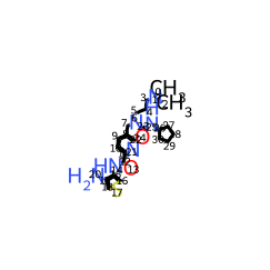 CN(C)CCCN(Cc1ccc(C(=O)Nc2cscc2N)nc1)C(=O)NC1CCCC1